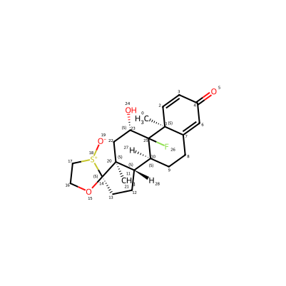 C[C@]12C=CC(=O)C=C1CC[C@H]1[C@@H]3CC[C@@]4(OCC[S+]4[O-])[C@@]3(C)C[C@H](O)C12F